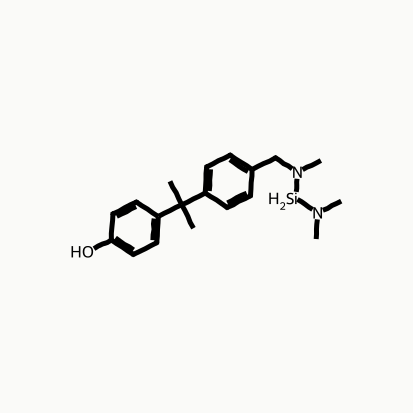 CN(C)[SiH2]N(C)Cc1ccc(C(C)(C)c2ccc(O)cc2)cc1